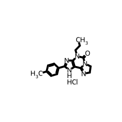 CCCN1C(=O)N2CCN=C2c2[nH]c(-c3ccc(C)cc3)nc21.Cl